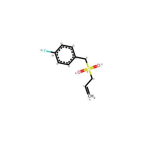 C=CCS(=O)(=O)Cc1ccc(F)cc1